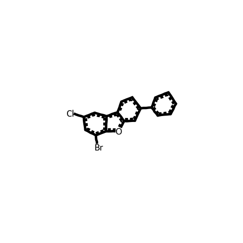 Clc1cc(Br)c2oc3cc(-c4ccccc4)ccc3c2c1